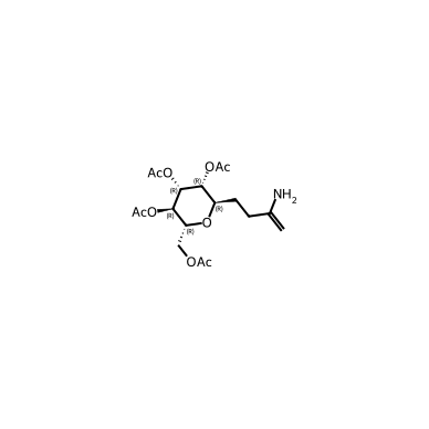 C=C(N)CC[C@H]1O[C@H](COC(C)=O)[C@@H](OC(C)=O)[C@H](OC(C)=O)[C@@H]1OC(C)=O